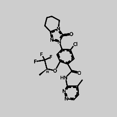 Cc1ccnnc1NC(=O)c1cc(Cl)c(-n2nc3n(c2=O)CCCC3)cc1O[C@@H](C)C(F)(F)F